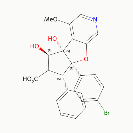 COc1cncc2c1[C@]1(O)[C@H](O)C(C(=O)O)[C@@H](c3ccccc3)[C@]1(c1ccc(Br)cc1)O2